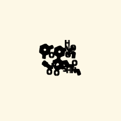 C#CC(=O)n1cc(-c2cc(NS(=O)(=O)CC)ccc2Oc2c(C)cccc2C)c2cc(C(=O)NCC)sc2c1=O